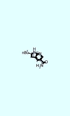 CCCC[C@@H]1Cc2cc(C(N)=O)cnc2N1